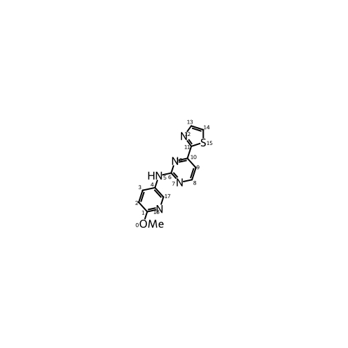 COc1ccc(Nc2nccc(-c3nccs3)n2)cn1